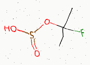 CC(C)(F)OS(=O)O